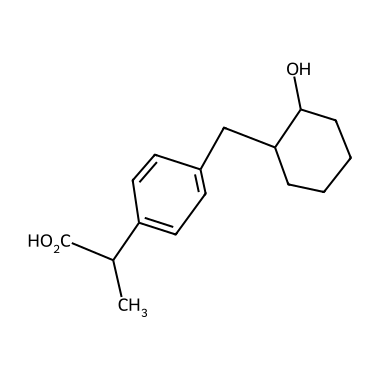 CC(C(=O)O)c1ccc(CC2CCCCC2O)cc1